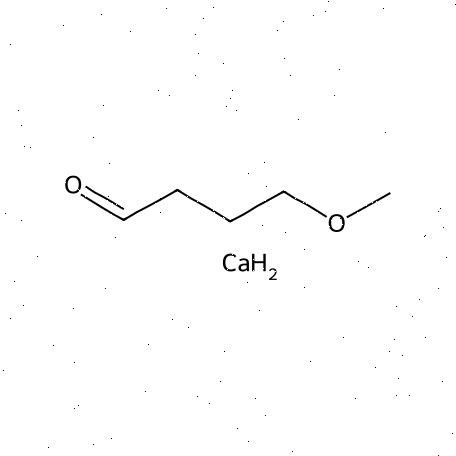 COCCCC=O.[CaH2]